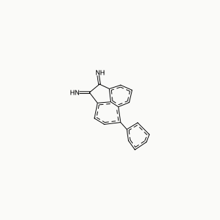 N=C1C(=N)c2ccc(-c3ccccc3)c3cccc1c23